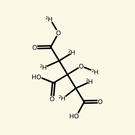 [2H]OC(=O)C([2H])([2H])C(O[2H])(C(=O)O)C([2H])([2H])C(=O)O